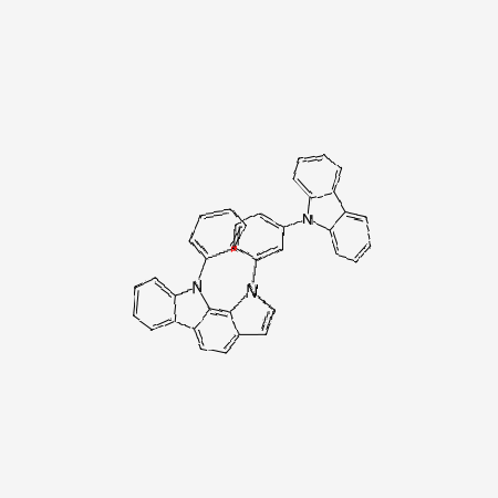 c1ccc(-n2c3ccccc3c3ccc4ccn(-c5cccc(-n6c7ccccc7c7ccccc76)c5)c4c32)cc1